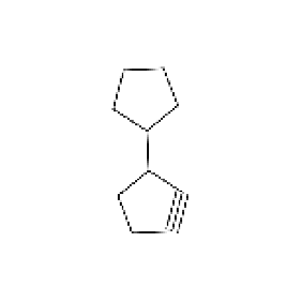 C1#CC(C2CCCC2)CC1